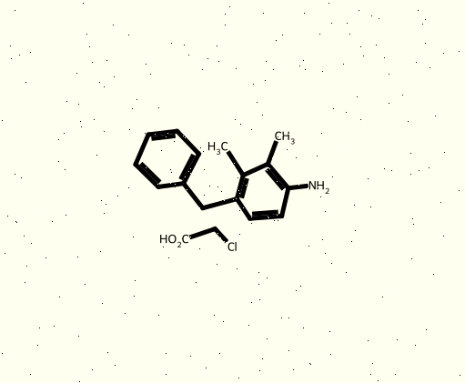 Cc1c(N)ccc(Cc2ccccc2)c1C.O=C(O)CCl